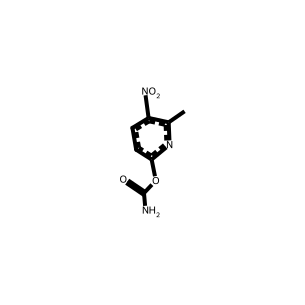 Cc1nc(OC(N)=O)ccc1[N+](=O)[O-]